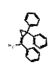 CC(=C1CC1(c1ccccc1)c1ccccc1)c1ccccc1